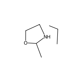 CC1NCCO1.CCC